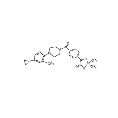 Cc1cc(C2CC2)cnc1N1CCN(C(=O)c2ccc(N3CC(C)(C)OC3=O)cc2)CC1